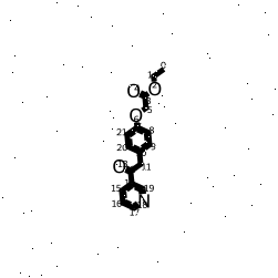 CCOC(=O)COc1ccc(CC(=O)c2cccnc2)cc1